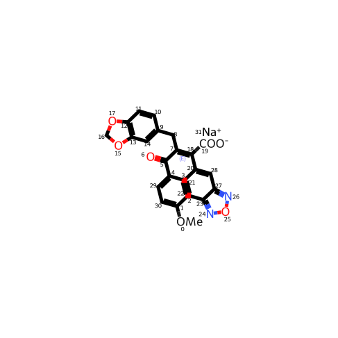 COc1ccc(C(=O)/C(Cc2ccc3c(c2)OCO3)=C(/C(=O)[O-])c2ccc3nonc3c2)cc1.[Na+]